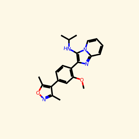 COc1cc(-c2c(C)noc2C)ccc1-c1nc2ccccn2c1NC(C)C